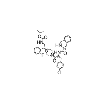 CC(C)OC(=O)NCC(c1ccccc1F)N1CCN(C(=O)[C@@H](Cc2ccc(Cl)cc2)NC(=O)[C@H]2Cc3ccccc3CN2)CC1